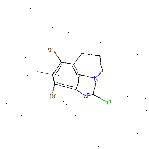 Cc1c(Br)c2c3c(nc(Cl)n3CCC2)c1Br